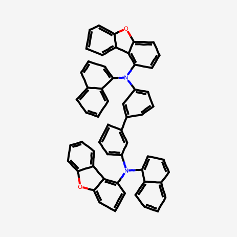 c1cc(-c2cccc(N(c3cccc4ccccc34)c3cccc4oc5ccccc5c34)c2)cc(N(c2cccc3ccccc23)c2cccc3oc4ccccc4c23)c1